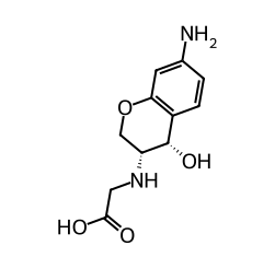 Nc1ccc2c(c1)OC[C@@H](NCC(=O)O)[C@H]2O